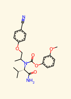 COc1cccc(OC(=O)N(C(C)COc2ccc(C#N)cc2)[C@H](C(N)=O)C(C)C)c1